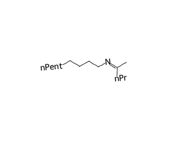 CCCCCCCCC/N=C(/C)CCC